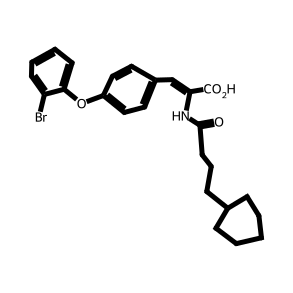 O=C(CCCC1CCCCC1)N/C(=C\c1ccc(Oc2ccccc2Br)cc1)C(=O)O